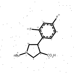 CCCCN1CC(C(=O)O)C(c2ccc(F)cc2F)C1